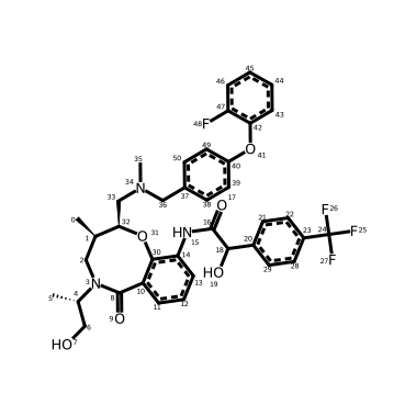 C[C@@H]1CN([C@@H](C)CO)C(=O)c2cccc(NC(=O)C(O)c3ccc(C(F)(F)F)cc3)c2O[C@@H]1CN(C)Cc1ccc(Oc2ccccc2F)cc1